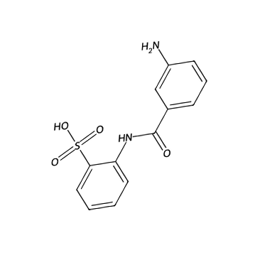 Nc1cccc(C(=O)Nc2ccccc2S(=O)(=O)O)c1